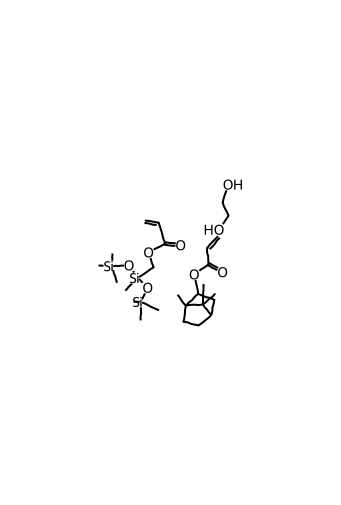 C=CC(=O)OC1CC2CCC1(C)C2(C)C.C=CC(=O)OC[Si](C)(O[Si](C)(C)C)O[Si](C)(C)C.OCCO